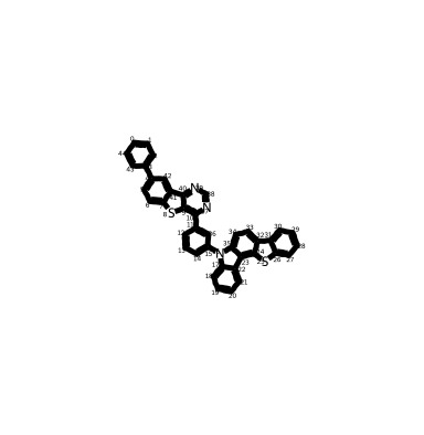 c1ccc(-c2ccc3sc4c(-c5cccc(-n6c7ccccc7c7c8sc9ccccc9c8ccc76)c5)ncnc4c3c2)cc1